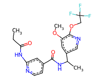 CCC(=O)Nc1cc(C(=O)NC(C)c2cnc(OCC(F)(F)F)c(OC)c2)ccn1